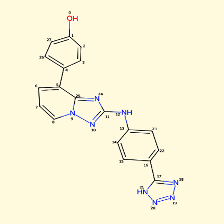 Oc1ccc(-c2cccn3nc(Nc4ccc(-c5nnn[nH]5)cc4)nc23)cc1